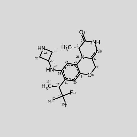 C[C@@H]1C(=O)NN=C2COc3cc([C@H](C)C(F)(F)F)c(NC4CNC4)cc3N21